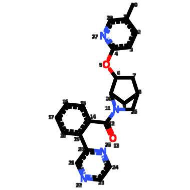 Cc1ccc(OC2CC3CC2N(C(=O)c2ccccc2-c2cnccn2)C3)nc1